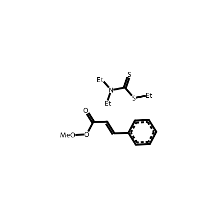 CCSC(=S)N(CC)CC.COOC(=O)C=Cc1ccccc1